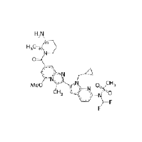 COc1cc(C(=O)N2CCC[C@@H](N)[C@H]2C)cc2nc(-c3cc4ccc(N(C(F)F)S(C)(=O)=O)nc4n3CC3CC3)c(C)n12